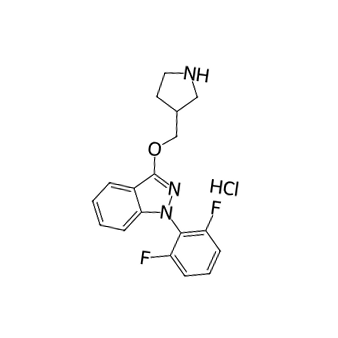 Cl.Fc1cccc(F)c1-n1nc(OCC2CCNC2)c2ccccc21